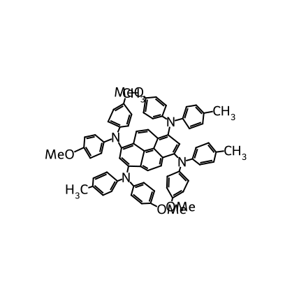 COc1ccc(N(c2ccc(C)cc2)c2cc(N(c3ccc(C)cc3)c3ccc(OC)cc3)c3ccc4c(N(c5ccc(C)cc5)c5ccc(OC)cc5)cc(N(c5ccc(C)cc5)c5ccc(OC)cc5)c5ccc2c3c54)cc1